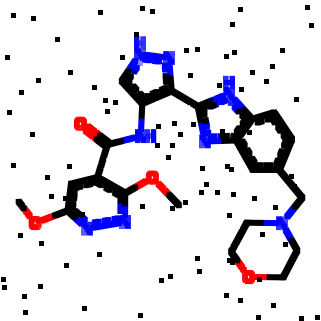 COc1cc(C(=O)Nc2c[nH]nc2-c2nc3cc(CN4CCOCC4)ccc3[nH]2)c(OC)nn1